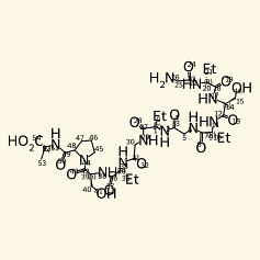 CC[C@@H](NC(=O)CNC(=O)[C@@H](CC)NC(=O)[C@H](CO)NC(=O)[C@@H](CC)NC(=O)CN)C(=O)NCC(=O)N[C@H](CC)C(=O)N[C@@H](CO)C(=O)N1CCCC1C(=O)N[C@@H](C)C(=O)O